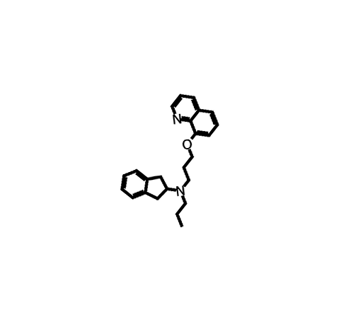 CCCN(CCCOc1cccc2cccnc12)C1Cc2ccccc2C1